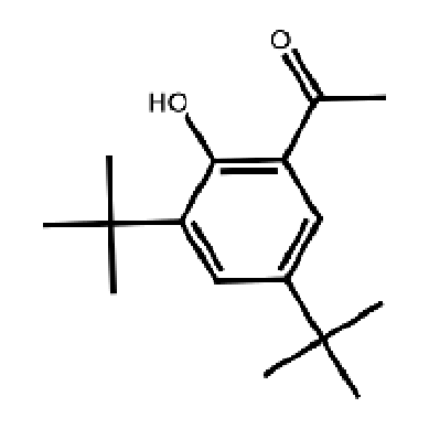 CC(=O)c1cc(C(C)(C)C)cc(C(C)(C)C)c1O